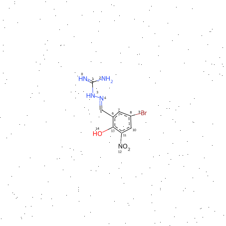 N=C(N)NN=Cc1cc(Br)cc([N+](=O)[O-])c1O